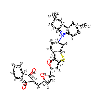 CC(C)(C)c1ccc2c(c1)c1cc(C(C)(C)C)ccc1n2-c1ccc2c(c1)sc1cc(-c3ccc(C=C4C(=O)c5ccccc5C4=O)o3)oc12